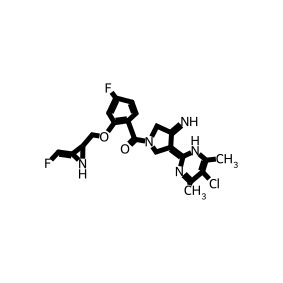 CC1=N/C(=C2\CN(C(=O)c3ccc(F)cc3OCC3N/C3=C\F)CC2=N)NC(C)=C1Cl